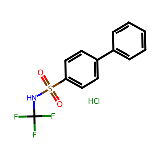 Cl.O=S(=O)(NC(F)(F)F)c1ccc(-c2ccccc2)cc1